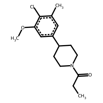 CCC(=O)N1CCC(c2cc(C)c(Cl)c(OC)c2)CC1